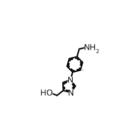 NCc1c[c]c(-n2cnc(CO)c2)cc1